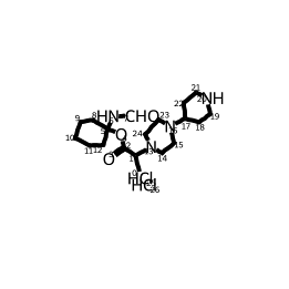 CC(C(=O)OC1(NC=O)CCCCC1)N1CCN(C2CCNCC2)CC1.Cl.Cl